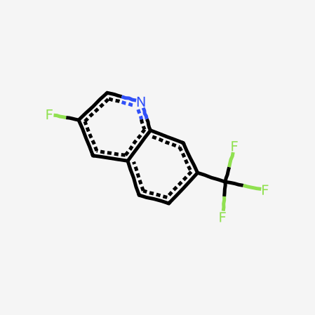 Fc1cnc2cc(C(F)(F)F)ccc2c1